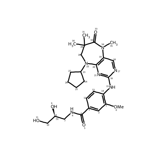 COc1cc(C(=O)NC[C@H](O)CO)ccc1Nc1ncc2c(n1)N(C1CCCC1)CC(C)(C)C(=O)N2C